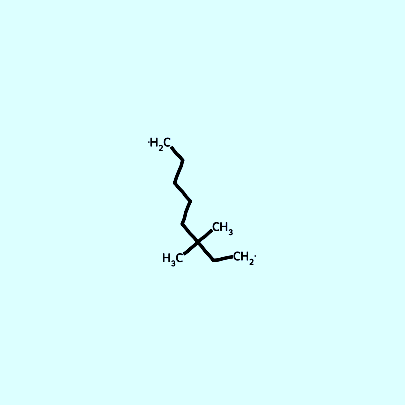 [CH2]CCCCC(C)(C)C[CH2]